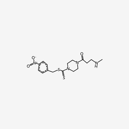 CNCCC(=O)N1CCN(C(=S)SCc2ccc([N+](=O)[O-])cc2)CC1